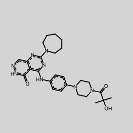 CC(C)(O)C(=O)N1CCN(c2ccc(Nc3nc(N4CCCCCC4)nc4cn[nH]c(=O)c34)cc2)CC1